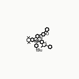 C=C1C=C(c2ccccc2)Sc2cc3c(cc21)Bc1c(-c2cc4c(cc2Nc2ccc(C(C)(C)C)cc2)C(C)(C)CCC4(C)C)ccc2c4cc5c(cc4n-3c12)oc1ccccc15